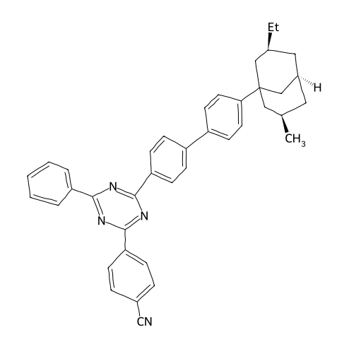 CC[C@H]1C[C@H]2C[C@@H](C)CC(c3ccc(-c4ccc(-c5nc(-c6ccccc6)nc(-c6ccc(C#N)cc6)n5)cc4)cc3)(C2)C1